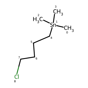 [CH3][Sn]([CH3])([CH3])[CH2]CCCCl